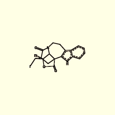 CCC12OC(=O)C34CC(C(=O)N(CCc5c3[nH]c3ccccc53)C41)C2I